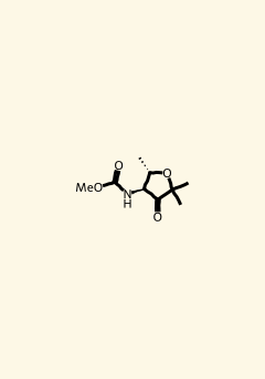 COC(=O)N[C@@H]1C(=O)C(C)(C)O[C@H]1C